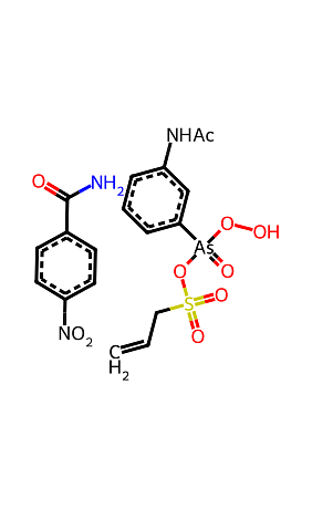 C=CCS(=O)(=O)O[As](=O)(OO)c1cccc(NC(C)=O)c1.NC(=O)c1ccc([N+](=O)[O-])cc1